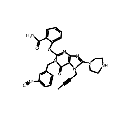 [C-]#[N+]c1cccc(Cn2c(Oc3ccccc3C(N)=O)nc3nc(N4CCNCC4)n(CC#CC)c3c2=O)c1